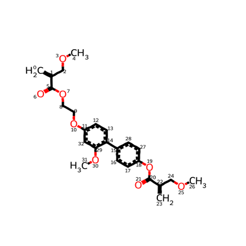 C=C(COC)C(=O)OCCOc1ccc(-c2ccc(OC(=O)C(=C)COC)cc2)c(OC)c1